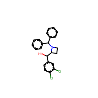 OC(c1ccc(Cl)c(Cl)c1)C1CCN1C(c1ccccc1)c1ccccc1